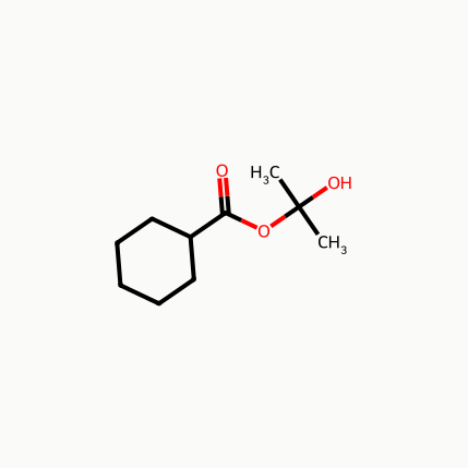 CC(C)(O)OC(=O)C1CCCCC1